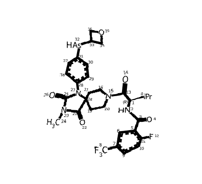 CC(C)[C@@H](NC(=O)c1cc(C(F)(F)F)ccc1F)C(=O)N1CCC2(CC1)C(=O)N(C)C(=O)N2c1ccc([AsH]C2COC2)cc1